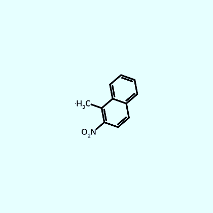 [CH2]c1c([N+](=O)[O-])ccc2ccccc12